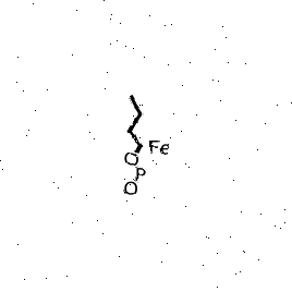 CCCCOP=O.[Fe]